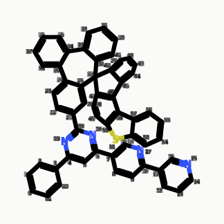 c1ccc(-c2cc(-c3ccc(-c4cccnc4)nc3)nc(-c3ccc4c(c3)C3(c5ccccc5-c5ccccc5-4)c4ccccc4-c4c3ccc3sc5ccccc5c43)n2)cc1